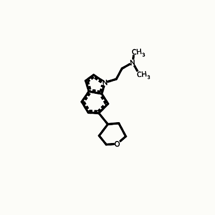 CN(C)CCn1ccc2ccc(C3CCOCC3)cc21